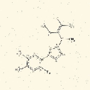 COC(=C(C)C)C(C)n1cc(-c2cc(C)c(C)cc2F)cn1